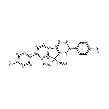 CCCCCCCCC1(CCCCCCCC)c2cc(-c3ccc(Br)cc3)ccc2-c2ccc(-c3ccc(Br)cc3)cc21